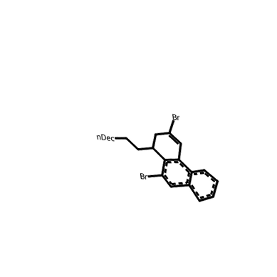 CCCCCCCCCCCCC1CC(Br)=Cc2c1c(Br)cc1ccccc21